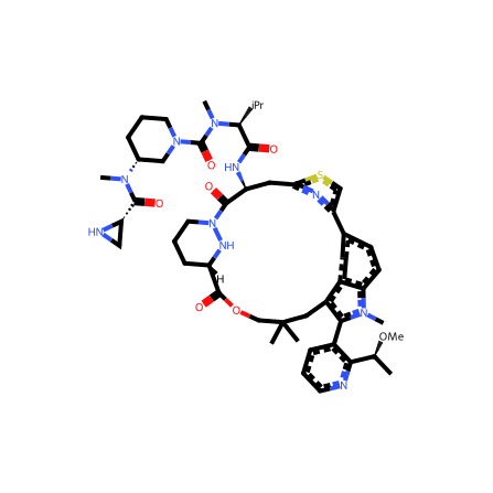 CO[C@@H](C)c1ncccc1-c1c2c3cc(ccc3n1C)-c1csc(n1)C[C@H](NC(=O)[C@H](C(C)C)N(C)C(=O)N1CCC[C@@H](N(C)C(=O)[C@@H]3CN3)C1)C(=O)N1CCC[C@H](N1)C(=O)OCC(C)(C)C2